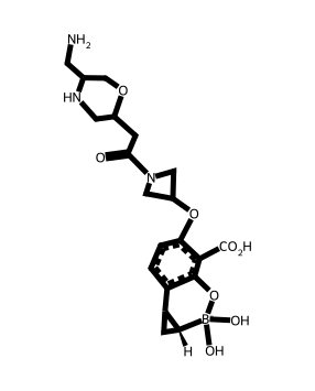 NCC1COC(CC(=O)N2CC(Oc3ccc4c(c3C(=O)O)O[B-](O)(O)[C@@H]3CC43)C2)CN1